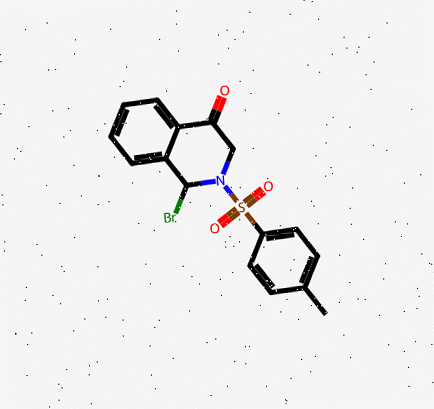 Cc1ccc(S(=O)(=O)N2CC(=O)c3ccccc3C2Br)cc1